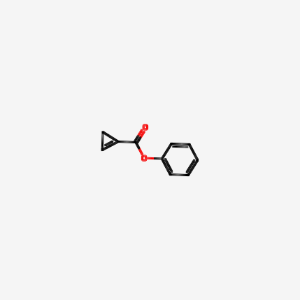 O=C(Oc1ccccc1)C1=CC1